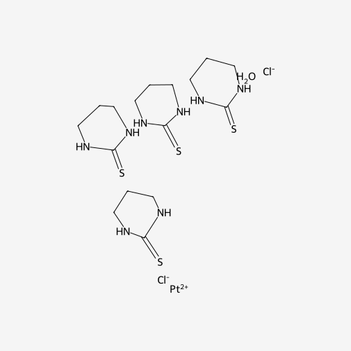 O.S=C1NCCCN1.S=C1NCCCN1.S=C1NCCCN1.S=C1NCCCN1.[Cl-].[Cl-].[Pt+2]